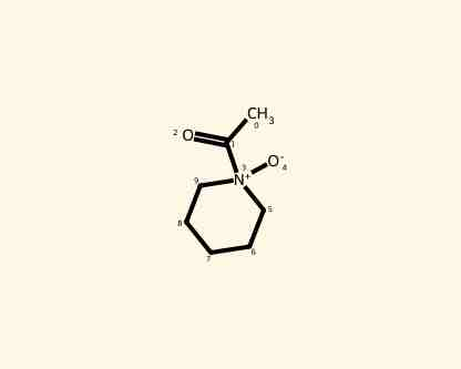 CC(=O)[N+]1([O-])CCCCC1